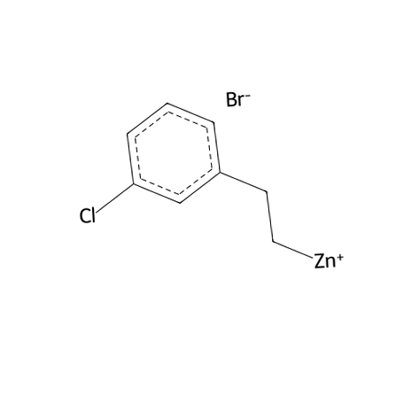 Clc1cccc(C[CH2][Zn+])c1.[Br-]